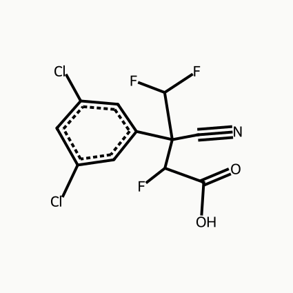 N#CC(c1cc(Cl)cc(Cl)c1)(C(F)F)C(F)C(=O)O